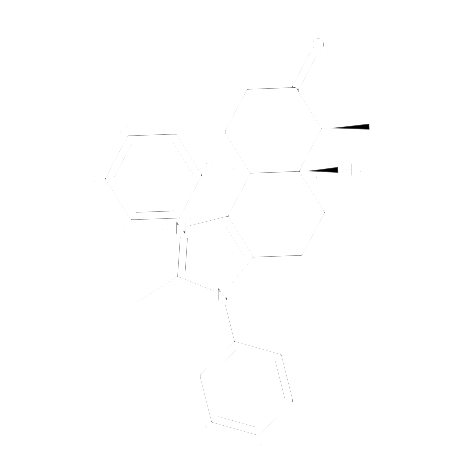 Cc1nc2c(n1-c1ccccc1)CC[C@H]1[C@H](C)C(=O)CC[C@]21c1ccccc1